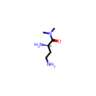 CN(C)C(=O)[C@H](N)CCN